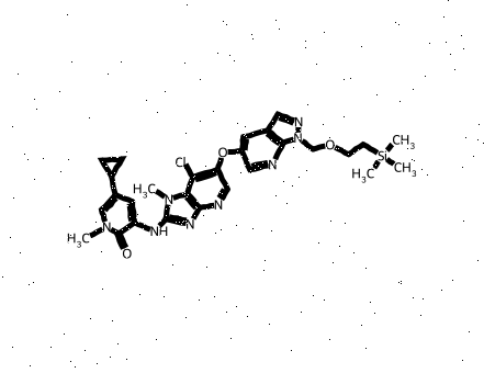 Cn1cc(C2CC2)cc(Nc2nc3ncc(Oc4cnc5c(cnn5COCC[Si](C)(C)C)c4)c(Cl)c3n2C)c1=O